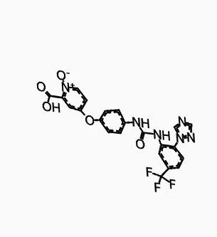 O=C(Nc1ccc(Oc2cc[n+]([O-])c(C(=O)O)c2)cc1)Nc1cc(C(F)(F)F)ccc1-n1cncn1